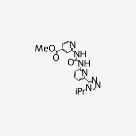 COC(=O)c1ccnc(NC(=O)Nc2cccc(-c3nncn3C(C)C)n2)c1